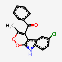 CC1=C(C(=O)c2ccccc2)c2c([nH]c3ccc(Cl)cc23)OO1